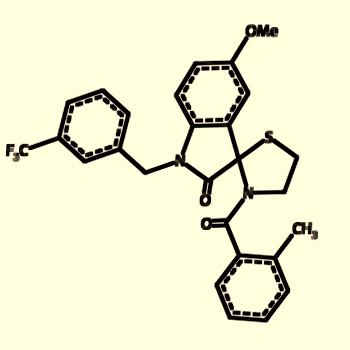 COc1ccc2c(c1)C1(SCCN1C(=O)c1ccccc1C)C(=O)N2Cc1cccc(C(F)(F)F)c1